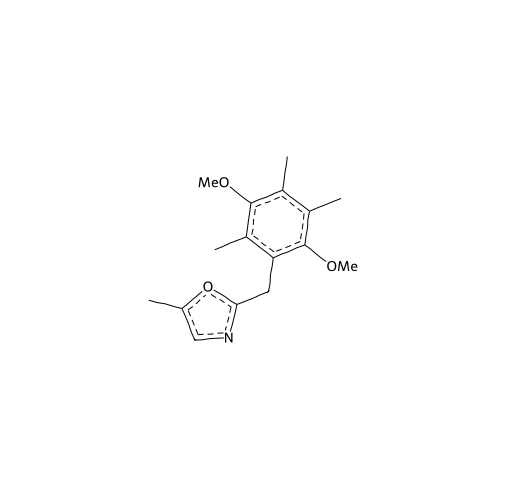 COc1c(C)c(C)c(OC)c(Cc2ncc(C)o2)c1C